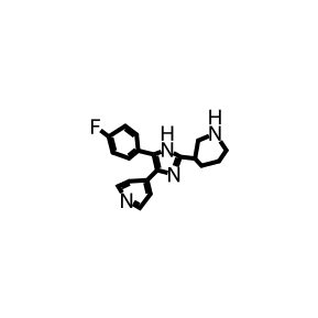 Fc1ccc(-c2[nH]c(C3CCCNC3)nc2-c2ccncc2)cc1